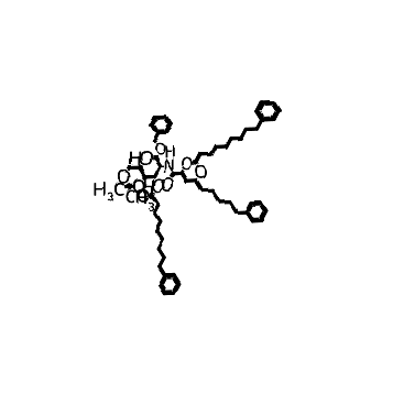 CC1(C)OC[C@H]2O[C@@H](OCc3ccccc3)[C@H](NC(=O)C(CCCCCCCc3ccccc3)OC(=O)CCCCCCCCc3ccccc3)[C@@H](OC(=O)CCCCCCCCc3ccccc3)[C@@H]2O1